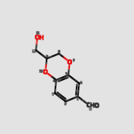 O=Cc1ccc2c(c1)OCC(CO)O2